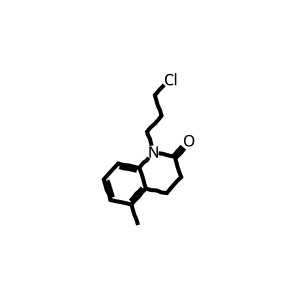 Cc1cccc2c1CCC(=O)N2CCCCl